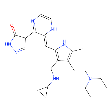 CCN(CC)CCc1c(C)[nH]c(C=C2NC=CN=C2C2C=NNC2=O)c1CNC1CC1